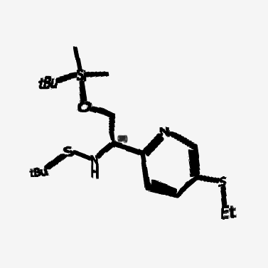 CCSc1ccc([C@H](CO[Si](C)(C)C(C)(C)C)NSC(C)(C)C)nc1